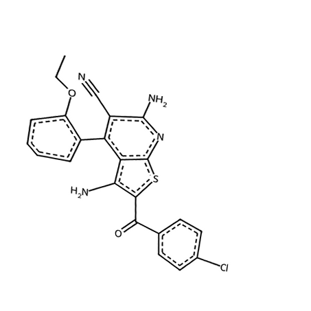 CCOc1ccccc1-c1c(C#N)c(N)nc2sc(C(=O)c3ccc(Cl)cc3)c(N)c12